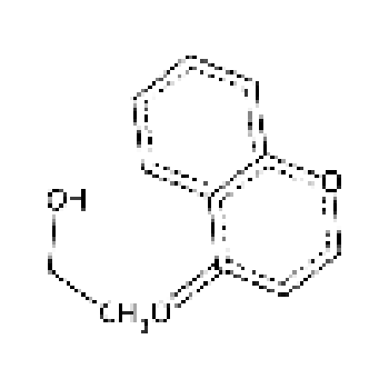 CCO.O=c1ccoc2ccccc12